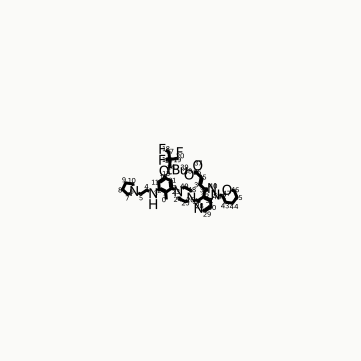 Cc1c(NCCN2CCCC2)cc(OCC(F)(CF)CF)cc1N1CCN(c2nccc3c2c(C=CC(=O)OC(C)(C)C)nn3C2CCCCO2)CC1